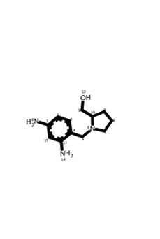 Nc1ccc(CN2CCCC2CO)c(N)c1